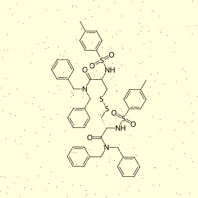 Cc1ccc(S(=O)(=O)NC(CSSC[C@H](NS(=O)(=O)c2ccc(C)cc2)C(=O)N(Cc2ccccc2)Cc2ccccc2)C(=O)N(Cc2ccccc2)Cc2ccccc2)cc1